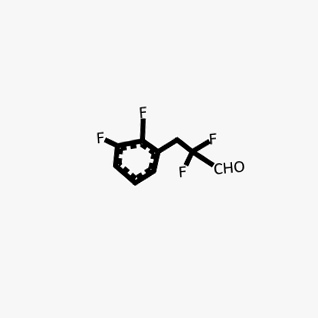 O=CC(F)(F)Cc1cccc(F)c1F